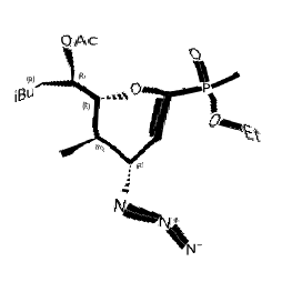 CCOP(C)(=O)C1=C[C@H](N=[N+]=[N-])[C@@H](C)[C@H]([C@H](OC(C)=O)[C@H](C)CC)O1